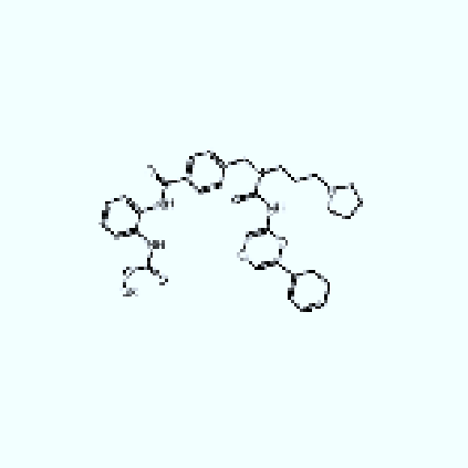 CC(C)(C)OC(=O)Nc1ccccc1NC(=O)c1ccc(CN(CCCN2CCCC2)C(=O)NC2=COC=C(C3=CC=CCC3)O2)cc1